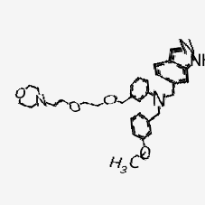 COc1cccc(CN(Cc2ccc3cn[nH]c3c2)c2cccc(COCCOCCN3CCOCC3)c2)c1